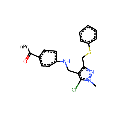 CCCC(=O)c1ccc(NCc2c(CSc3ccccc3)nn(C)c2Cl)cc1